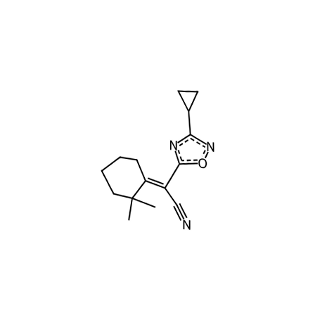 CC1(C)CCCC/C1=C(/C#N)c1nc(C2CC2)no1